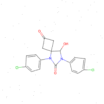 O=C1CC2(C1)C(O)N(c1ccc(Cl)cc1)C(=O)N2c1ccc(Cl)cc1